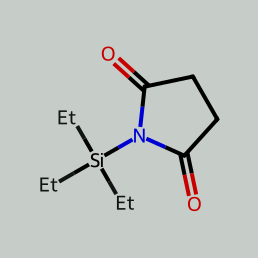 CC[Si](CC)(CC)N1C(=O)CCC1=O